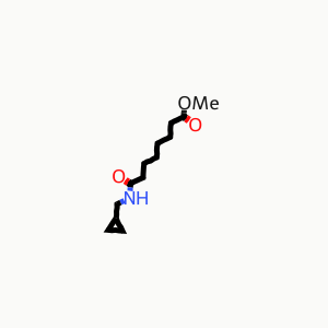 COC(=O)CCCCCCC(=O)NCC1CC1